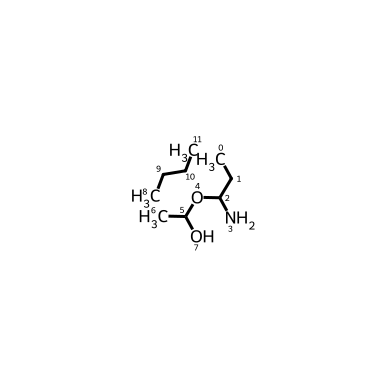 CCC(N)OC(C)O.CCCC